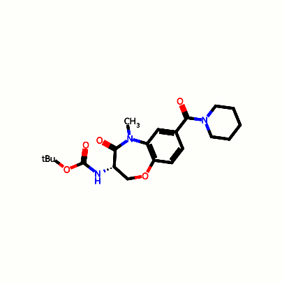 CN1C(=O)[C@@H](NC(=O)OC(C)(C)C)COc2ccc(C(=O)N3CCCCC3)cc21